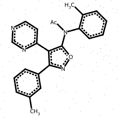 CC(=O)N(c1ccccc1C)c1onc(-c2cccc(C)c2)c1-c1ccncn1